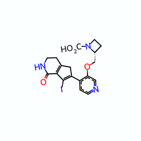 O=C1NCCC2=C1C(I)=C(c1ccncc1OC[C@H]1CCN1C(=O)O)C2